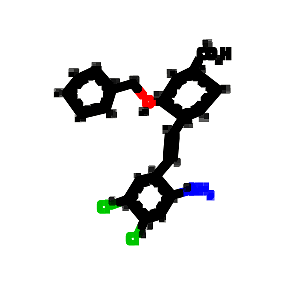 Nc1cc(Cl)c(Cl)cc1C#Cc1ccc(C(=O)O)cc1OCc1ccccc1